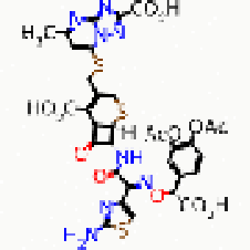 CC(=O)Oc1ccc([C@@H](ON=C(C(=O)N[C@@H]2C(=O)C3C(C(=O)O)=C(CSc4cc(C)nc5nc(C(=O)O)nn45)CS[C@H]32)c2csc(N)n2)C(=O)O)cc1OC(C)=O